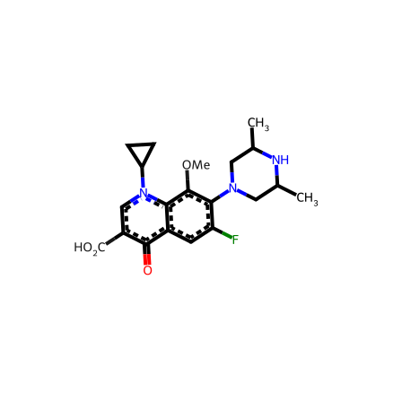 COc1c(N2CC(C)NC(C)C2)c(F)cc2c(=O)c(C(=O)O)cn(C3CC3)c12